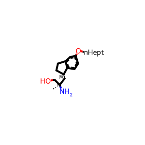 CCCCCCCOc1ccc2c(c1)CC[C@@H]2C[C@@](C)(N)CO